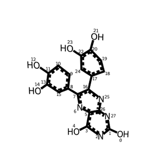 Oc1nc(O)c2nc(-c3ccc(O)c(O)c3)c(-c3ccc(O)c(O)c3)nc2n1